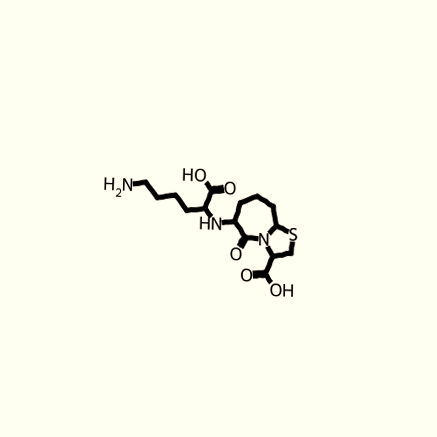 NCCCCC(NC1CCCC2SCC(C(=O)O)N2C1=O)C(=O)O